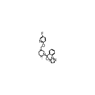 C[C@@H]1CC[C@@H](COc2ccc(F)cn2)CN1C(=O)c1ccccc1-n1nccn1